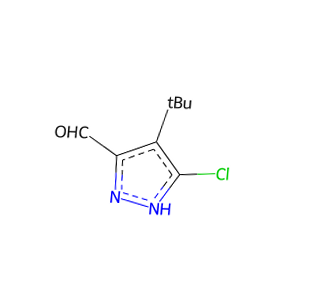 CC(C)(C)c1c(C=O)n[nH]c1Cl